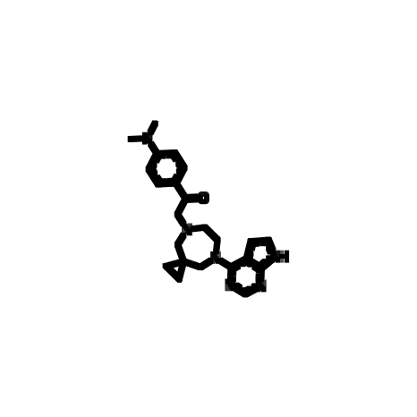 CN(C)c1ccc(C(=O)CN2CCN(c3ncnc4[nH]ccc34)CC3(CC3)C2)cc1